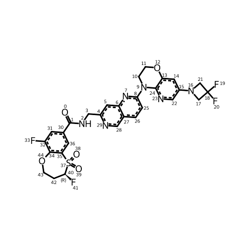 O=C(NCc1cc2nc(N3CCOc4cc(N5CC(F)(F)C5)cnc43)ccc2cn1)c1cc(F)c2c(c1)S(=O)(=O)[C@@H](F)CCO2